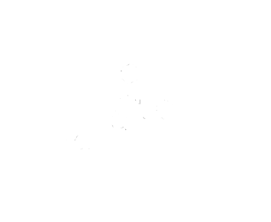 CCCCOc1ccc(C[C@H](NC(=O)c2ccccc2)c2nc(/C=C(C)/C=C(/C)C(=O)OCC)cs2)cc1